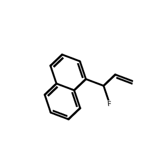 C=CC(F)c1cccc2ccccc12